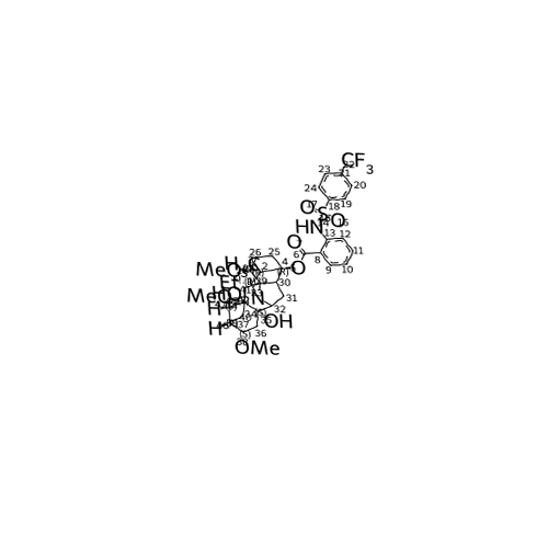 CC[C@@H]1[C@@H](C)[C@]2(OC(=O)c3ccccc3NS(=O)(=O)c3ccc(C(F)(F)F)cc3)CC[C@H](OC)C34C2CC(N13)[C@@]1(O)C[C@H](OC)[C@H]2CC4[C@]1(O)[C@H]2OC